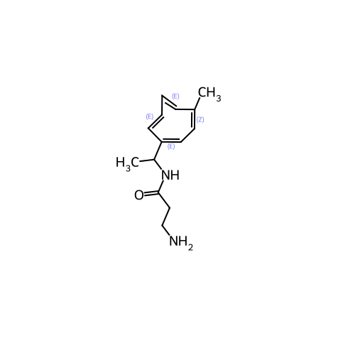 CC1=C/C=C(C(C)NC(=O)CCN)\C=C\C=C\1